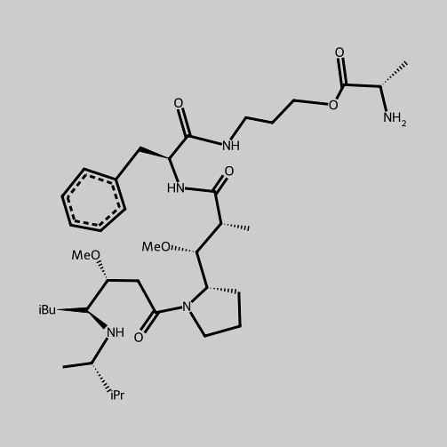 CC[C@H](C)[C@H](N[C@@H](C)C(C)C)[C@@H](CC(=O)N1CCC[C@H]1[C@H](OC)[C@@H](C)C(=O)N[C@@H](Cc1ccccc1)C(=O)NCCCOC(=O)[C@H](C)N)OC